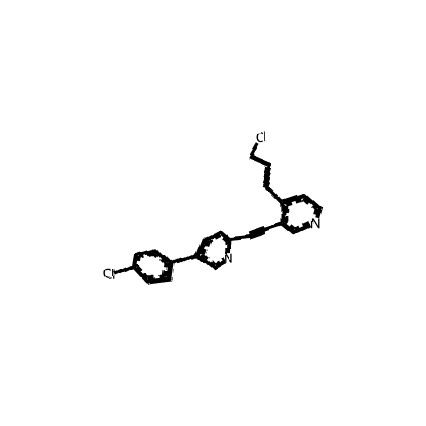 ClCC=Cc1ccncc1C#Cc1ccc(-c2ccc(Cl)cc2)cn1